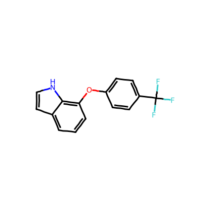 FC(F)(F)c1ccc(Oc2cccc3cc[nH]c23)cc1